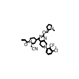 C=CC(=O)N1CCC(c2nc(OC[C@H]3CCCN3C)nc3c2CCN(c2cccc(Cl)c2C(F)(F)F)C3)C[C@@H]1CC#N